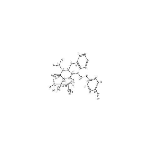 CC(C)c1c(Cc2ccccc2)n(COCc2ccc(F)cc2)c(=O)n(C(N)(C(=O)O)C(C)C)c1=O